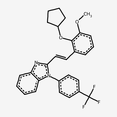 COc1cccc(C=Cc2nc3ccccc3n2-c2ccc(C(F)(F)F)cc2)c1OC1CCCC1